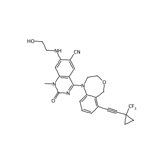 Cn1c(=O)nc(N2CCOCc3c(C#CC4(C(F)(F)F)CC4)cccc32)c2cc(C#N)c(NCCO)cc21